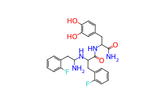 NC(=O)C(Cc1ccc(O)c(O)c1)NC(=O)C(Cc1ccccc1F)NC(N)Cc1ccccc1F